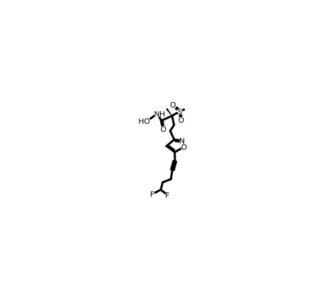 C[C@@](CCc1cc(C#CCCC(F)F)on1)(C(=O)NO)S(C)(=O)=O